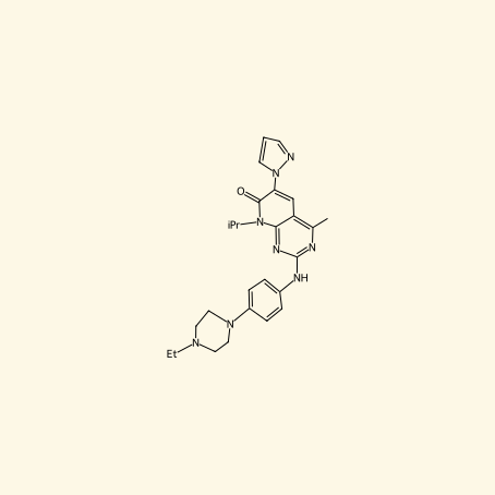 CCN1CCN(c2ccc(Nc3nc(C)c4cc(-n5cccn5)c(=O)n(C(C)C)c4n3)cc2)CC1